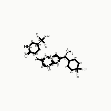 N[C@H](c1cn2nc(C[C@H]3C[C@H](C(F)(F)F)CNC3=O)cnc2n1)C1CCC(F)(F)CC1